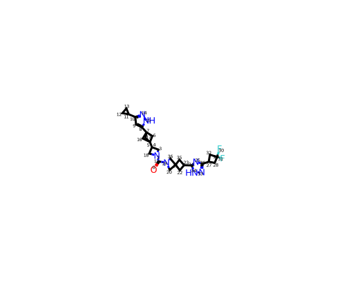 O=C(N1CC(C23CC(c4cc(C5CC5)n[nH]4)(C2)C3)C1)N1CC2(CC(c3nc(C4CC(F)(F)C4)n[nH]3)C2)C1